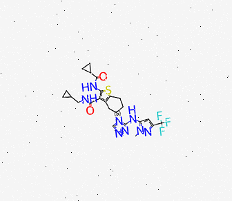 Cn1nc(C(F)(F)F)cc1Nc1nncn1[C@H]1CCc2sc(NC(=O)C3CC3)c(C(=O)NCC3CC3)c2C1